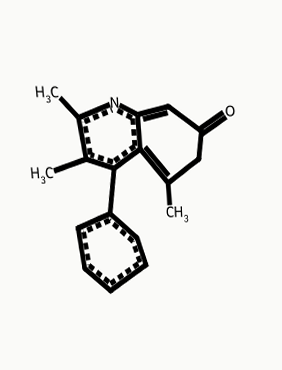 CC1=c2c(-c3ccccc3)c(C)c(C)nc2=CC(=O)C1